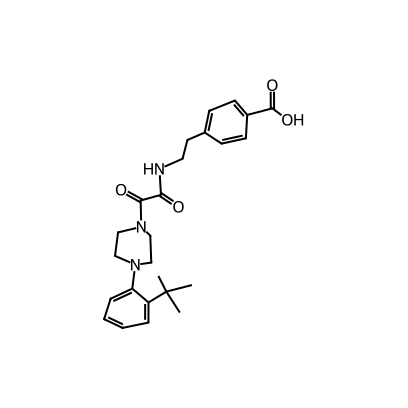 CC(C)(C)c1ccccc1N1CCN(C(=O)C(=O)NCCc2ccc(C(=O)O)cc2)CC1